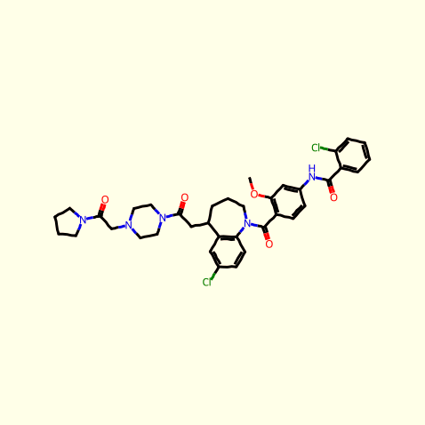 COc1cc(NC(=O)c2ccccc2Cl)ccc1C(=O)N1CCCC(CC(=O)N2CCN(CC(=O)N3CCCC3)CC2)c2cc(Cl)ccc21